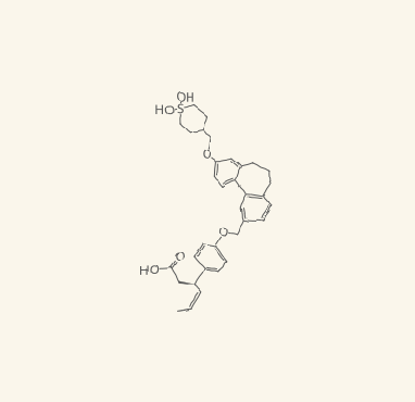 C/C=C\[C@@H](CC(=O)O)c1ccc(OCc2ccc3c(c2)-c2ccc(OCC4CCS(O)(O)CC4)cc2CCC3)cc1